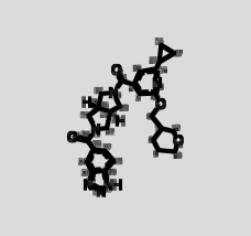 O=C(c1cc(OCC2CCCOC2)nc(C2CC2)c1)N1C[C@H]2CN(C(=O)c3ccc4[nH]nnc4c3)C[C@@H]2C1